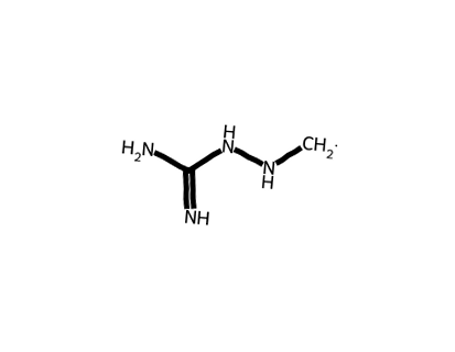 [CH2]NNC(=N)N